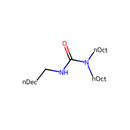 CCCCCCCCCCCNC(=O)N(CCCCCCCC)CCCCCCCC